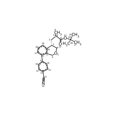 CN(C[C@@H]1COCc2c(-c3ccc(C#N)cc3)cccc21)C(=O)OC(C)(C)C